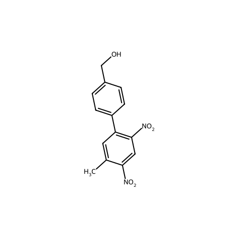 Cc1cc(-c2ccc(CO)cc2)c([N+](=O)[O-])cc1[N+](=O)[O-]